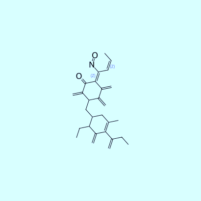 C=C(CC)C1=C(C)CC(CC2C(=C)C(=C)/C(=C(\C=C/C)N=O)C(=O)C2=C)C(CC)C1=C